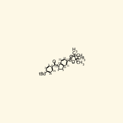 CC(C)(C)c1ccc(C(=O)N2CCc3cc(B4OC(C)(C)C(C)(C)O4)ccc32)cc1